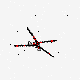 CCCCCCCCCCCCCCCCCCCCc1cc(-c2sc(-c3cc(CCCCCCCCCCCCCCCCCCCC)c(Br)s3)c3nc(CCCCCCCCCCCCCCCCCCCC)c(CCCCCCCCCCCCCCCCCCCC)nc23)sc1Br